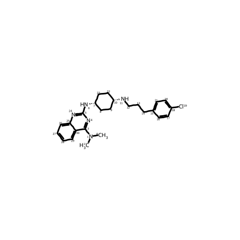 CN(C)c1nc(N[C@H]2CC[C@@H](NCCCc3ccc(Cl)cc3)CC2)nc2ccccc12